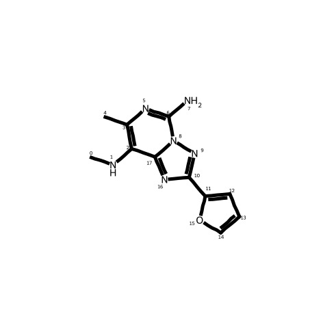 CNc1c(C)nc(N)n2nc(-c3ccco3)nc12